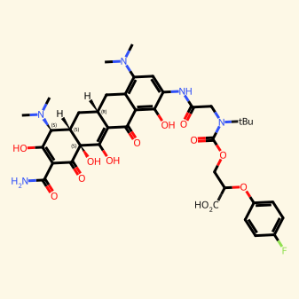 CN(C)c1cc(NC(=O)CN(C(=O)OCC(Oc2ccc(F)cc2)C(=O)O)C(C)(C)C)c(O)c2c1C[C@H]1C[C@H]3[C@H](N(C)C)C(O)=C(C(N)=O)C(=O)[C@@]3(O)C(O)=C1C2=O